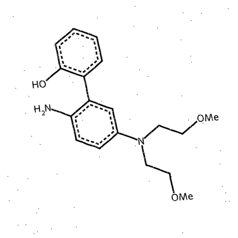 COCCN(CCOC)c1ccc(N)c(-c2ccccc2O)c1